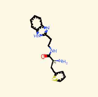 N[C@@H](Cc1cccs1)C(=O)NCCc1nc2ccccc2[nH]1